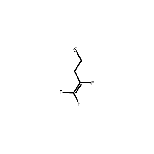 FC(F)=C(F)CC[S]